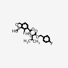 CC(C)[C@H](NC(=O)c1ccc2c(c1F)B(O)OC2)C(=O)OCc1ccc(F)cc1